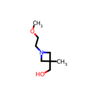 COCCN1CC(C)(CO)C1